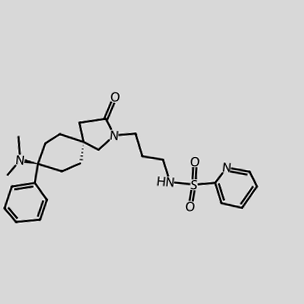 CN(C)[C@]1(c2ccccc2)CC[C@]2(CC1)CC(=O)N(CCCNS(=O)(=O)c1ccccn1)C2